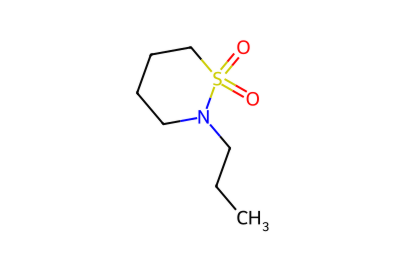 CCCN1CCCCS1(=O)=O